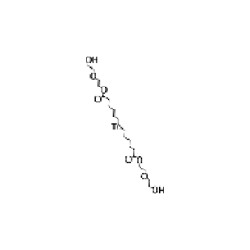 O=C(CCCCC[Te]CCCCCC(=O)OCCOCCO)OCCOCCO